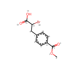 COC(=O)c1ccc(CC(Br)C(=O)O)cc1